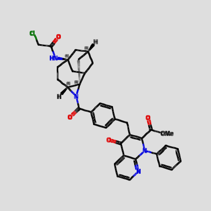 COC(=O)c1c(Cc2ccc(C(=O)N3[C@@H]4CC[C@@]5(NC(=O)CCl)CC6C[C@@H](C5)C[C@@]643)cc2)c(=O)c2cccnc2n1-c1ccccc1